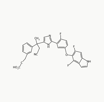 CC(CC#N)(c1cccc(CCC(=O)O)c1)c1cnc(-c2cc(Oc3c(F)cc4[nH]ccc4c3F)ccc2F)[nH]1